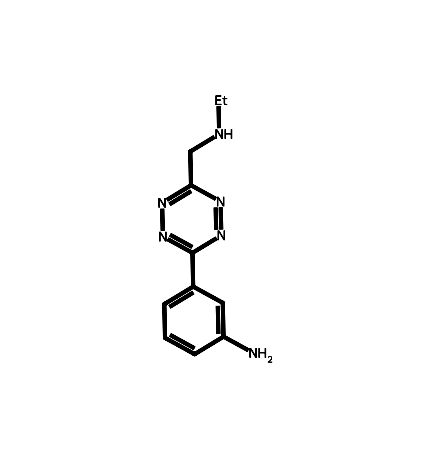 CCNCc1nnc(-c2cccc(N)c2)nn1